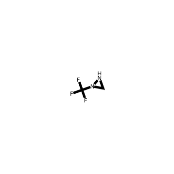 FC(F)(F)N1CN1